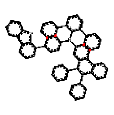 c1ccc(-c2cccc(-c3ccccc3)c2N(c2ccc(-c3cccc4c3oc3ccccc34)cc2)c2ccc3c(c2)c(-c2ccccc2)c(-c2ccccc2)c2ccccc23)cc1